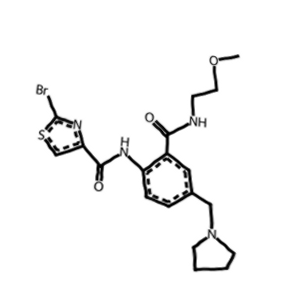 COCCNC(=O)c1cc(CN2CCCC2)ccc1NC(=O)c1csc(Br)n1